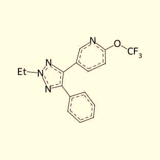 CCn1nc(-c2ccccc2)c(-c2ccc(OC(F)(F)F)nc2)n1